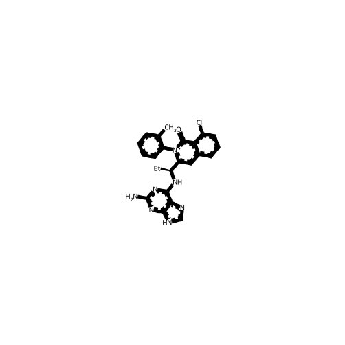 CC[C@H](Nc1nc(N)nc2[nH]cnc12)c1cc2cccc(Cl)c2c(=O)n1-c1ccccc1C